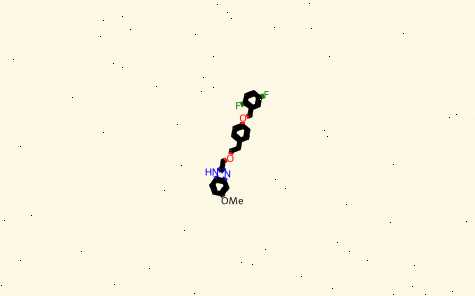 COc1ccc2[nH]c(COCCc3ccc(OCc4cc(F)ccc4F)cc3)nc2c1